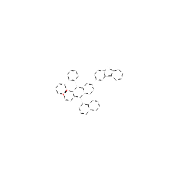 c1ccc(-c2ccccc2-c2c3ccccc3c(-c3cccc4ccccc34)c3ccc(-c4ccc5sc6ccccc6c5c4)cc23)cc1